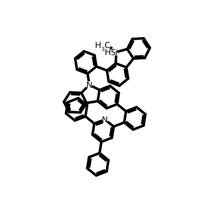 C[SiH]1c2ccccc2-c2cccc(-c3ccccc3-n3c4ccccc4c4cc(-c5ccccc5-c5cc(-c6ccccc6)cc(-c6ccccc6)n5)ccc43)c21